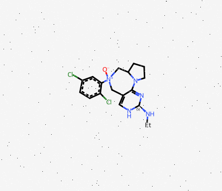 CCN[C@@H]1N=C2C(=CN1)C[N+]([O-])(c1cc(Cl)ccc1Cl)CC1CCCN21